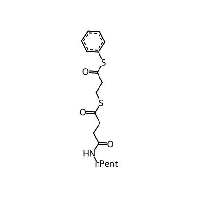 CCCCCNC(=O)CCC(=O)SCCC(=O)Sc1ccccc1